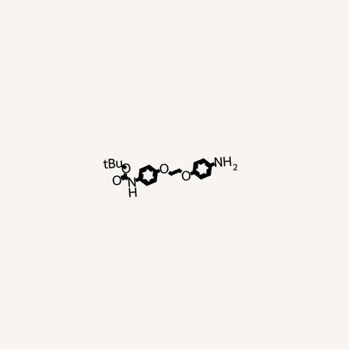 CC(C)(C)OC(=O)Nc1ccc(OCCOc2ccc(N)cc2)cc1